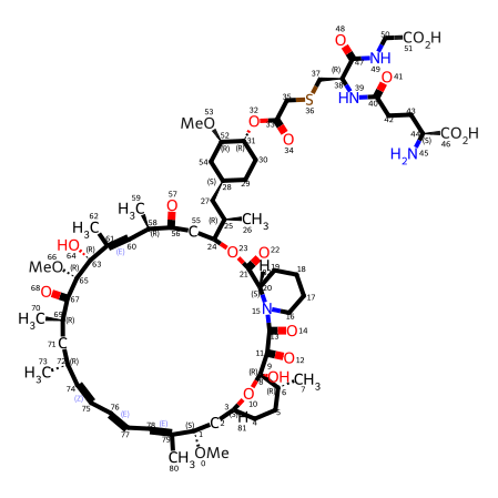 CO[C@H]1C[C@@H]2CC[C@@H](C)[C@@](O)(O2)C(=O)C(=O)N2CCCC[C@H]2C(=O)OC([C@H](C)C[C@@H]2CC[C@@H](OC(=O)CSC[C@H](NC(=O)CC[C@H](N)C(=O)O)C(=O)NCC(=O)O)[C@H](OC)C2)CC(=O)[C@H](C)/C=C(\C)[C@@H](O)[C@@H](OC)C(=O)[C@H](C)C[C@@H](C)\C=C/C=C/C=C/1C